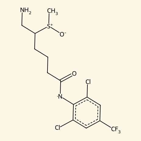 C[S+]([O-])C(CN)CCCC(=O)[N]c1c(Cl)cc(C(F)(F)F)cc1Cl